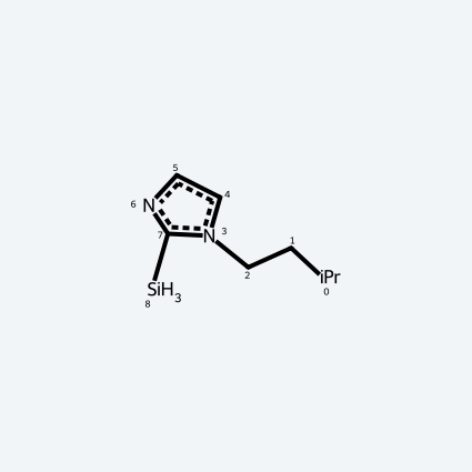 CC(C)CCn1ccnc1[SiH3]